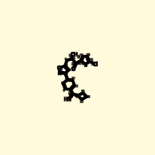 CN(Cc1cc(-c2ccc(C(=N)N3CCC3)cc2)no1)C(=O)c1ccc(Cl)s1